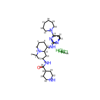 CC(C)N1CCCC(Nc2nccc(N3CCCCCC3)n2)C1CCNC(=O)C1CCNCC1.Cl.Cl.Cl